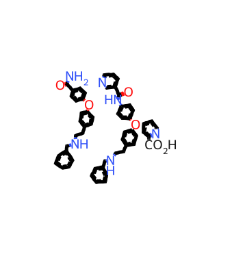 NC(=O)c1ccc(Oc2ccc(CCNCc3ccccc3)cc2)cc1.O=C(Nc1ccc(Oc2ccc(CCNCc3ccccc3)cc2)cc1)c1cccnc1.O=C(O)c1ccccn1